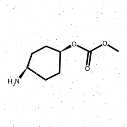 COC(=O)O[C@H]1CC[C@@H](N)CC1